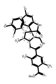 COC(=O)c1cc([N+](=O)[O-])c(C(=O)C[C@H]2[C@@H]([N+](=O)[O-])[C@H](c3cccc(Cl)c3F)[C@]3(C(=O)Nc4cc(Cl)ccc43)N2CC(C)C)cc1C